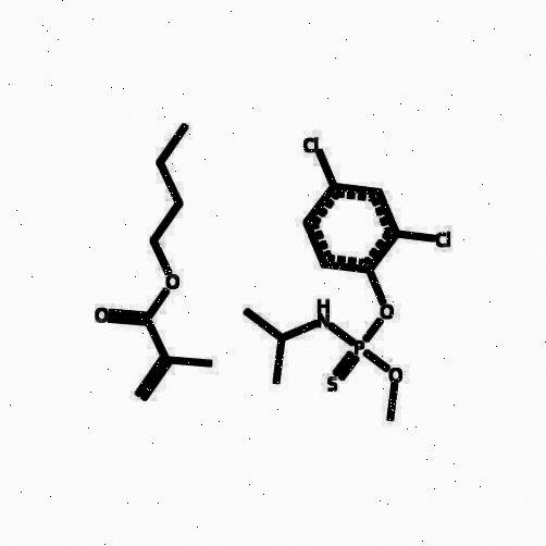 C=C(C)C(=O)OCCCC.COP(=S)(NC(C)C)Oc1ccc(Cl)cc1Cl